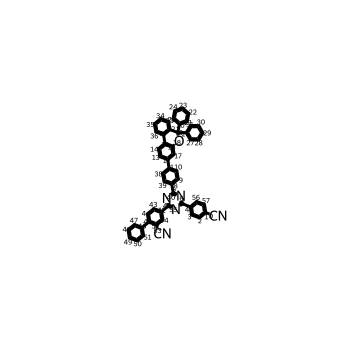 N#Cc1ccc(-c2nc(-c3ccc(-c4ccc5c(c4)OC(c4ccccc4)(c4ccccc4)c4ccccc4-5)cc3)nc(-c3ccc(-c4ccccc4)c(C#N)c3)n2)cc1